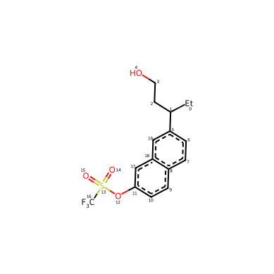 CCC(CCO)c1ccc2ccc(OS(=O)(=O)C(F)(F)F)cc2c1